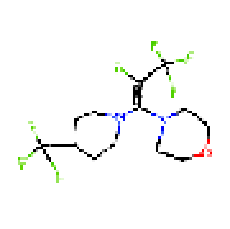 F/C(=C(/N1CCOCC1)N1CCC(C(F)(F)F)CC1)C(F)(F)F